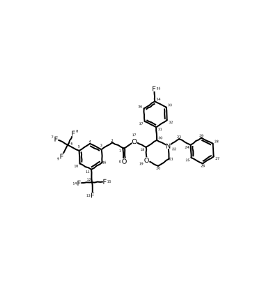 O=C(Cc1cc(C(F)(F)F)cc(C(F)(F)F)c1)OC1OCCN(Cc2ccccc2)C1c1ccc(F)cc1